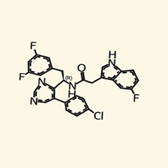 O=C(Cc1c[nH]c2ccc(F)cc12)N[C@H](Cc1cc(F)cc(F)c1)c1ncncc1-c1ccc(Cl)cc1